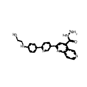 NNC(=O)c1cc(-c2ccc(-c3ccc(NCCO)cc3)nc2)nc2ccncc12